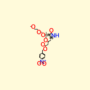 COCCOCOC(C)(C)[C@@H]1C(=O)N[C@@H]1CC(=O)CC(=O)OCc1ccc([N+](=O)[O-])cc1